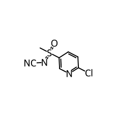 CS(=O)(=NC#N)c1ccc(Cl)nc1